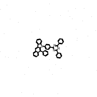 c1ccc(-c2nc(-c3ccccc3)nc(-c3ccc(-n4c5ccccc5c5cc6ccccc6c(-c6ccccc6)c54)cc3)n2)cc1